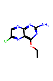 CCOc1nc(N)nc2ncc(Cl)nc12